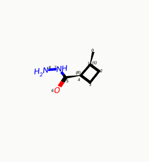 C[C@H]1CC[C@H]1C(=O)NN